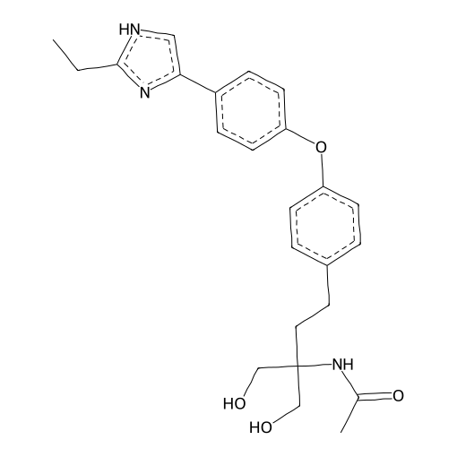 CCc1nc(-c2ccc(Oc3ccc(CCC(CO)(CO)NC(C)=O)cc3)cc2)c[nH]1